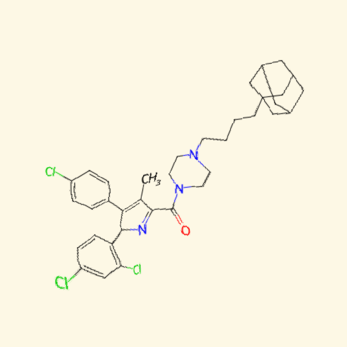 CC1=C(c2ccc(Cl)cc2)C(c2ccc(Cl)cc2Cl)N=C1C(=O)N1CCN(CCCCC23CC4CC(CC(C4)C2)C3)CC1